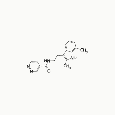 Cc1[nH]c2c(C)cccc2c1CCNC(=O)c1ccnnc1